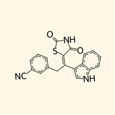 N#Cc1cccc(CC(=C2SC(=O)NC2=O)c2c[nH]c3ccccc23)c1